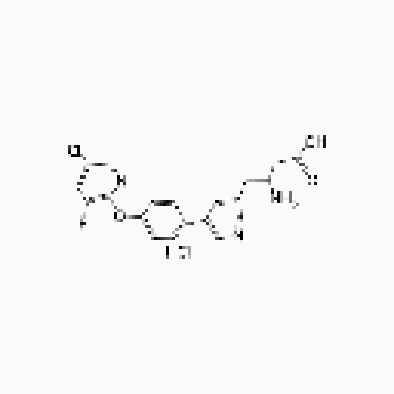 Cl.NC(CC(=O)O)Cc1cncc(-c2ccc(Oc3ncc(Cl)cc3F)cc2)c1